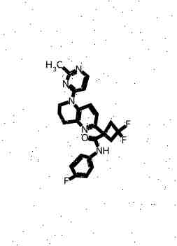 Cc1nccc(N2CCCc3nc(C4(C(=O)Nc5ccc(F)cc5)CC(F)(F)C4)ccc32)n1